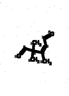 CC(=CC=O)C(C)(C)[C]=O